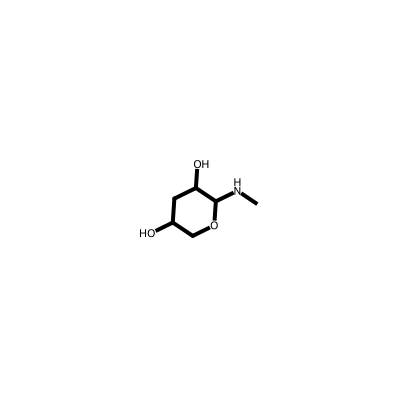 CNC1OCC(O)CC1O